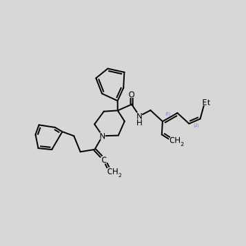 C=C=C(CCc1ccccc1)N1CCC(C(=O)NC/C(C=C)=C/C=C\CC)(c2ccccc2)CC1